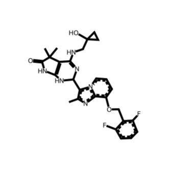 Cc1nc2c(OCc3c(F)cccc3F)cccn2c1C1N=C(NCC2(O)CC2)C2=C(NC(=O)C2(C)C)N1